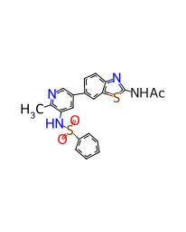 CC(=O)Nc1nc2ccc(-c3cnc(C)c(NS(=O)(=O)c4ccccc4)c3)cc2s1